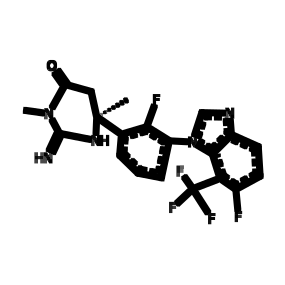 CN1C(=N)N[C@](C)(c2cccc(-n3cnc4ccc(F)c(C(F)(F)F)c43)c2F)CC1=O